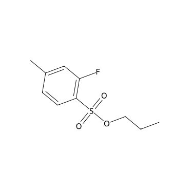 CCCOS(=O)(=O)c1ccc(C)cc1F